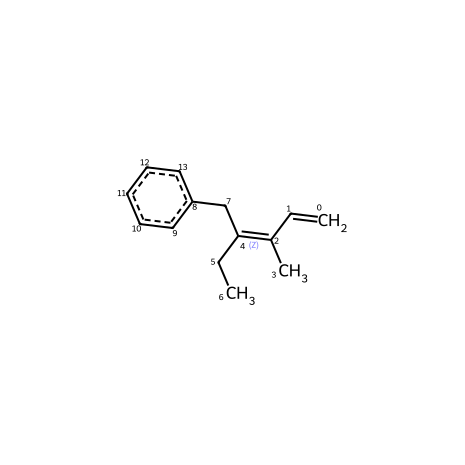 C=C/C(C)=C(/CC)Cc1ccccc1